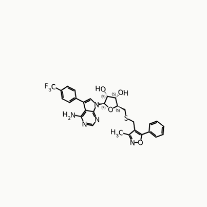 Cc1noc(-c2ccccc2)c1CSC[C@H]1O[C@@H](n2cc(-c3ccc(C(F)(F)F)cc3)c3c(N)ncnc32)[C@H](O)[C@@H]1O